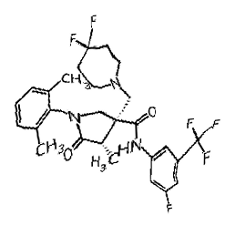 Cc1cccc(C)c1N1C[C@@](CN2CCC(F)(F)CC2)(C(=O)Nc2cc(F)cc(C(F)(F)F)c2)[C@H](C)C1=O